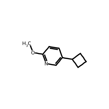 COc1ccc(C2CCC2)cn1